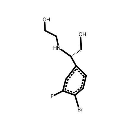 OCCN[C@H](CO)c1ccc(Br)c(F)c1